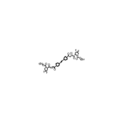 CC(C)(C)OC(=O)N1CC(F)(F)CC1C(=O)NCC(=O)c1ccc(C#Cc2ccc(C(=O)CNC(=O)[C@@H]3CC(F)(F)CN3C(=O)OC(C)(C)C)cc2)cc1